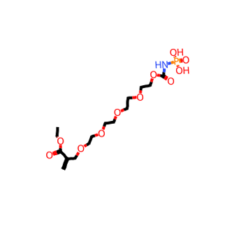 C=C(COCCOCCOCCOCCOC(=O)NP(=O)(O)O)C(=O)OCC